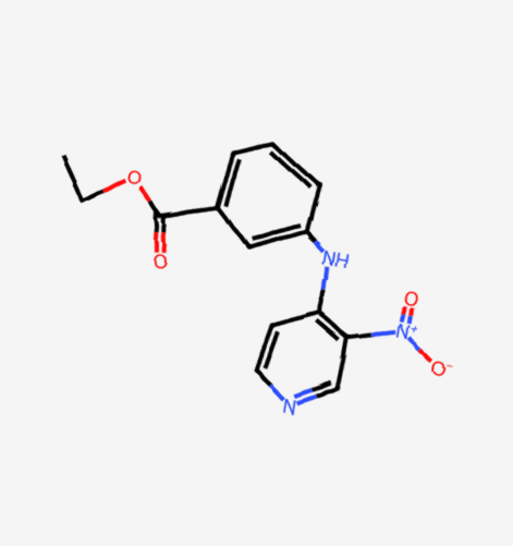 CCOC(=O)c1cccc(Nc2ccncc2[N+](=O)[O-])c1